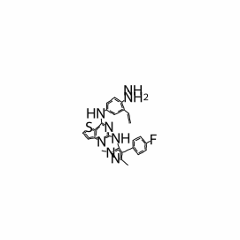 C=Cc1cc(Nc2nc(Nc3c(-c4ccc(F)cc4)c(C)nn3C)nc3ccsc23)ccc1NN